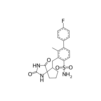 Cc1c(-c2ccc(F)cc2)ccc(S(N)(=O)=O)c1CC1CCCC12NC(=O)NC2=O